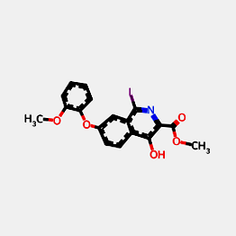 COC(=O)c1nc(I)c2cc(Oc3ccccc3OC)ccc2c1O